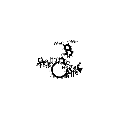 COc1cc2ccnc(O[C@@H]3C[C@H]4C(=O)N[C@]5(C(=O)NS(=O)(=O)C6(CF)CC6)C[C@H]5/C=C\CC[C@H](C)C[C@@H](C)[C@H](NC(=O)OC(C)(C)C(C)(F)F)C(=O)N4C3)c2cc1OC